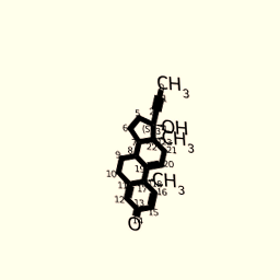 CC#C[C@]1(O)CCC2C3CCC4=CC(=O)C=C[C@]4(C)C3=CC[C@@]21C